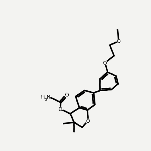 COCCOc1cccc(-c2ccc3c(c2)OCC(C)(C)C3OC(N)=O)c1